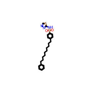 O=S(=O)(Nc1nncs1)c1ccc(CCCCCCCCCCc2ccccc2)cc1